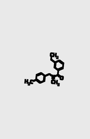 CCc1cccc(C(=O)N(C)Cc2ccc(C)cc2)c1